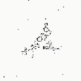 C=CCC[C@H](CCS(=O)(=O)C(C)(C)C)S(=O)(=O)NC(=O)c1ccc2c(c1)N(C[C@@H]1CC[C@H]1[C@@H](O)/C=C/CCC)C[C@@]1(CCCc3cc(Cl)ccc31)CO2